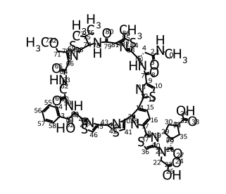 CNC(=O)C[C@@H]1NC(=O)c2csc(n2)-c2ccc(-c3nc(N(CC(=O)O)C(=O)[C@@H]4CC[C@@H](C(=O)O)C4)cs3)nc2-c2csc(n2)-c2csc(n2)[C@H]([C@@H](O)c2ccccc2)NC(=O)CNC(=O)c2nc(sc2COC)C(C(C)C)NC(=O)c2nc1sc2C